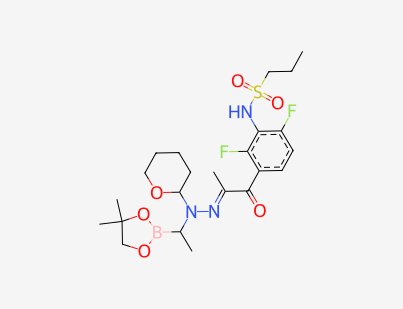 CCCS(=O)(=O)Nc1c(F)ccc(C(=O)/C(C)=N/N(C2CCCCO2)C(C)B2OCC(C)(C)O2)c1F